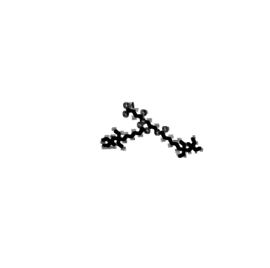 CCC(C)(CC)CC(CC)(CC)CCCCCC(=O)OCC(COC(=O)CCC(=O)O)OC(=O)CCCCCC(CC)(CC)CC(C)(CC)CC